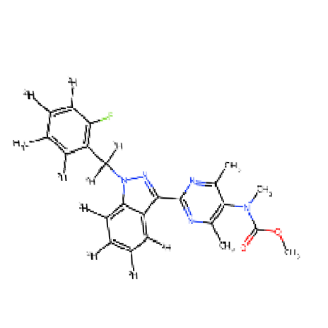 [2H]c1c([2H])c(F)c(C([2H])([2H])n2nc(-c3nc(C)c(N(C)C(=O)OC)c(C)n3)c3c([2H])c([2H])c([2H])c([2H])c32)c([2H])c1C